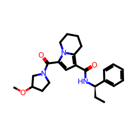 CC[C@@H](NC(=O)c1cc(C(=O)N2CCC(OC)C2)n2c1CCCC2)c1ccccc1